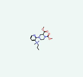 CCC[N+](C)(C)c1cccnc1N1CCN(C(=O)OC)C(C(=O)OC)C1